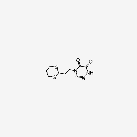 O=c1[nH]n[c]n(CCC2SCCCS2)c1=O